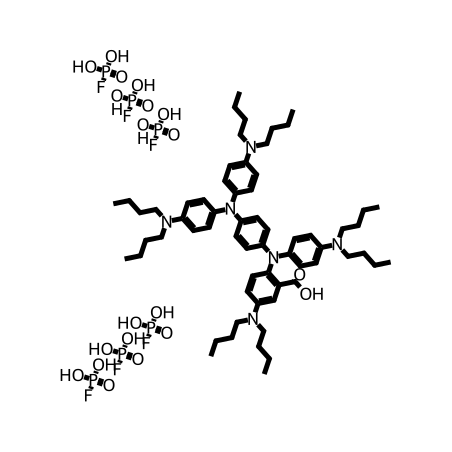 CCCCN(CCCC)c1ccc(N(c2ccc(N(CCCC)CCCC)cc2)c2ccc(N(c3ccc(N(CCCC)CCCC)cc3)c3ccc(N(CCCC)CCCC)cc3C(=O)O)cc2)cc1.O=P(O)(O)F.O=P(O)(O)F.O=P(O)(O)F.O=P(O)(O)F.O=P(O)(O)F.O=P(O)(O)F